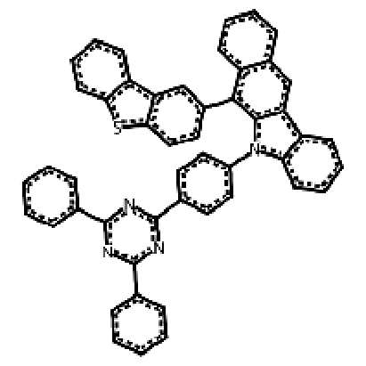 c1ccc(-c2nc(-c3ccccc3)nc(-c3ccc(-n4c5ccccc5c5cc6ccccc6c(-c6ccc7sc8ccccc8c7c6)c54)cc3)n2)cc1